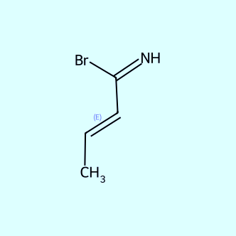 C/C=C/C(=N)Br